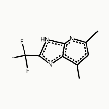 Cc1cc(C)c2nc(C(F)(F)F)[nH]c2n1